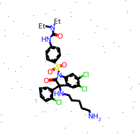 CCN(CC)C(=O)Nc1ccc(S(=O)(=O)N2C(=O)C(NCCCCCN)(c3ccccc3Cl)c3cc(Cl)c(Cl)cc32)cc1